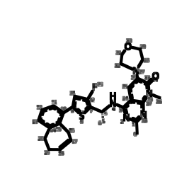 Cc1nc(N[C@H](C)c2sc(-c3cccc4c3CC=CCC4)cc2F)c2cc(N3CCOCC3)c(=O)n(C)c2n1